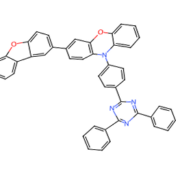 c1ccc(-c2nc(-c3ccccc3)nc(-c3ccc(N4c5ccccc5Oc5cc(-c6ccc7oc8ccccc8c7c6)ccc54)cc3)n2)cc1